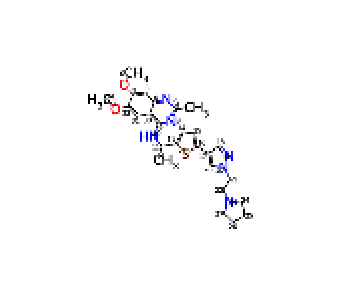 COc1cc2nc(C)nc(NC(C)c3ccc(-c4cnn(CCN5CCCC5)c4)s3)c2cc1OC